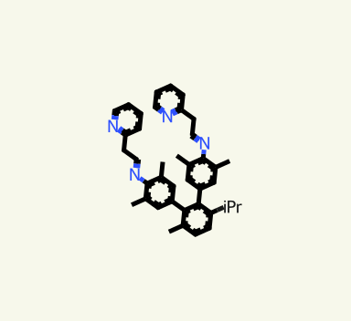 Cc1cc(-c2c(C)ccc(C(C)C)c2-c2cc(C)c(N=CCc3ccccn3)c(C)c2)cc(C)c1N=CCc1ccccn1